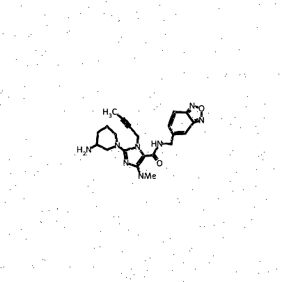 CC#CCn1c(N2CCCC(N)C2)nc(NC)c1C(=O)NCc1ccc2nonc2c1